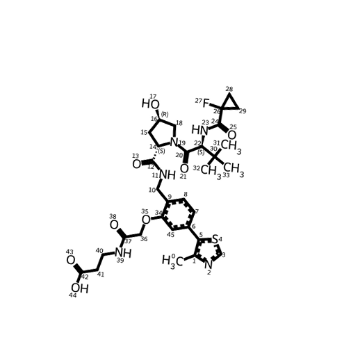 Cc1ncsc1-c1ccc(CNC(=O)[C@@H]2C[C@@H](O)CN2C(=O)[C@@H](NC(=O)C2(F)CC2)C(C)(C)C)c(OCC(=O)NCCC(=O)O)c1